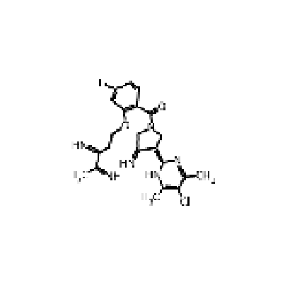 CC(=N)C(=N)CCOc1cc(F)ccc1C(=O)N1CC(=N)/C(=C2/N=C(C)C(Cl)=C(C)N2)C1